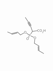 CC#CC(C(=O)O)P(=O)(OCC=CC)OCC=CC